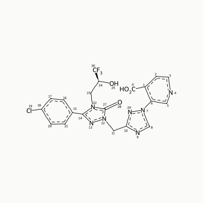 O=C(O)c1ccncc1-n1cnc(Cn2nc(-c3ccc(Cl)cc3)n(C[C@H](O)C(F)(F)F)c2=O)n1